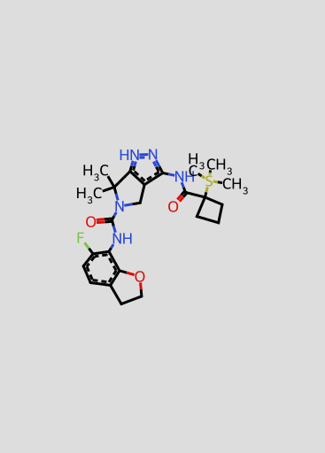 CC1(C)c2[nH]nc(NC(=O)C3(S(C)(C)C)CCC3)c2CN1C(=O)Nc1c(F)ccc2c1OCC2